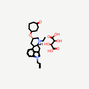 C=CCn1cc2c3c(cccc31)C1C[C@@H](OC3CCCC(=O)CC3)CN(CC)[C@@H]1C2.O=C(O)C(O)C(O)C(=O)O